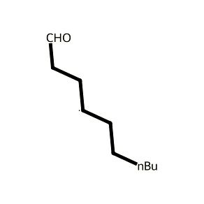 CCCCCC[CH]CCC=O